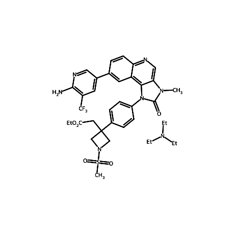 CCN(CC)CC.CCOC(=O)CC1(c2ccc(-n3c(=O)n(C)c4cnc5ccc(-c6cnc(N)c(C(F)(F)F)c6)cc5c43)cc2)CN(S(C)(=O)=O)C1